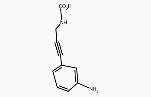 Nc1cccc(C#CCNC(=O)O)c1